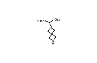 CCCCCCCCC(CCCCCCC)N1CC2(CNC2)C1